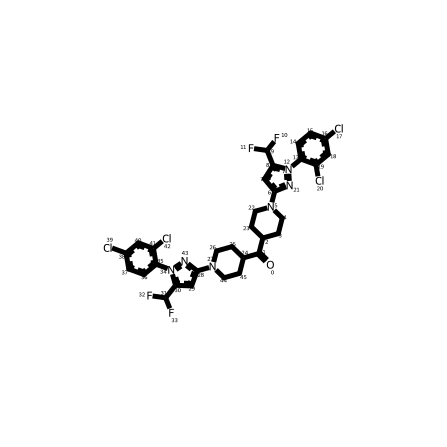 O=C(C1CCN(c2cc(C(F)F)n(-c3ccc(Cl)cc3Cl)n2)CC1)C1CCN(c2cc(C(F)F)n(-c3ccc(Cl)cc3Cl)n2)CC1